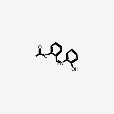 CC(=O)Oc1ccccc1/C=N\c1ccccc1O